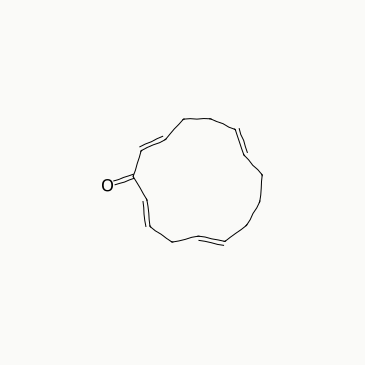 O=C1/C=C/C/C=C/CCC/C=C/CC/C=C/1